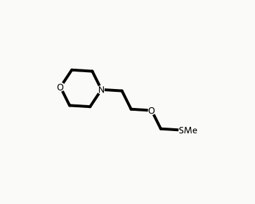 CSCOCCN1CCOCC1